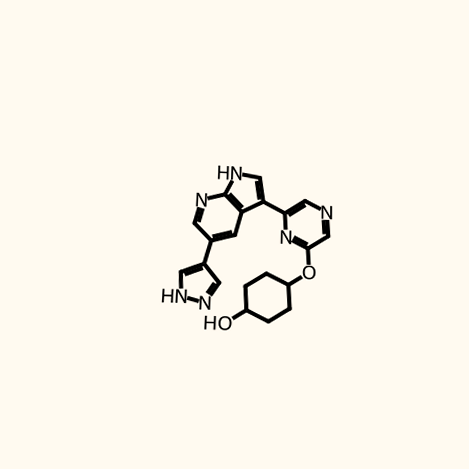 OC1CCC(Oc2cncc(-c3c[nH]c4ncc(-c5cn[nH]c5)cc34)n2)CC1